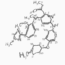 CCC(=O)c1cnc(Nc2ccc(OC3CCN(C)CC3)cn2)cc1N(C)c1cccc(-c2ncn(C)n2)c1OC